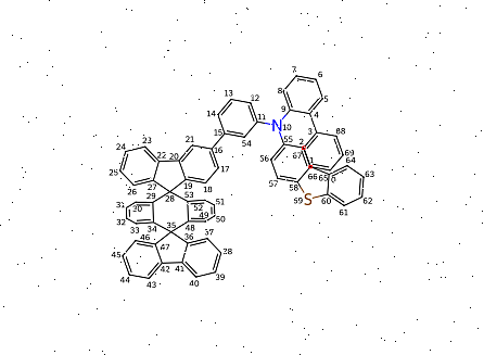 c1ccc(-c2ccccc2N(c2cccc(-c3ccc4c(c3)-c3ccccc3C43c4ccccc4C4(c5ccccc5-c5ccccc54)c4ccccc43)c2)c2ccc3sc4ccccc4c3c2)cc1